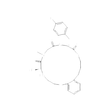 CCC[C@@H]1NC[C@@H](C)Oc2ccccc2CCCNC(=O)[C@@H](Cc2ccc(F)cc2)NC(=O)[C@@H](C)N(C)C1=O